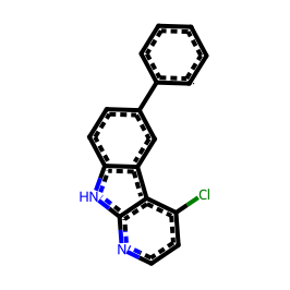 Clc1ccnc2[nH]c3ccc(-c4[c]cccc4)cc3c12